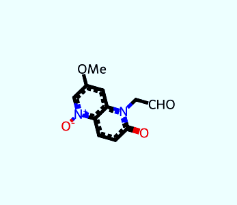 COc1cc2c(ccc(=O)n2CC=O)[n+]([O-])c1